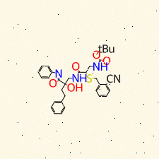 CC(C)(C)OC(=O)NCC(SCc1ccccc1C#N)C(=O)NCC(O)(CCc1ccccc1)c1nc2ccccc2o1